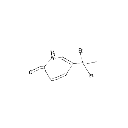 CCC(C)(CC)c1ccc(=O)[nH]c1